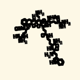 COc1cccc(C[C@@H](NC(=O)[C@H](CCN)NC(=O)[C@H](CCC(=O)NCCCC(NC(=O)[C@@H](N)Cc2c[nH]c3ccccc23)C(N)=O)NC(=O)[C@H](CCCNC(=N)N)NC(C)=O)C(=O)NCCCCNC(=N)N)c1